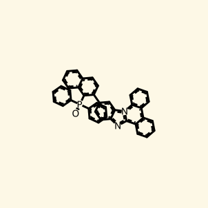 O=P(c1ccccc1)(c1ccccc1)c1c(-c2ccc3nc4c5ccccc5c5ccccc5n4c3c2)ccc2ccccc12